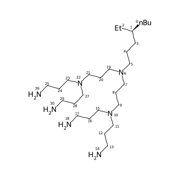 CCCC[C@H](CC)CCCN(CCCN(CCCN)CCCN)CCCN(CCCN)CCCN